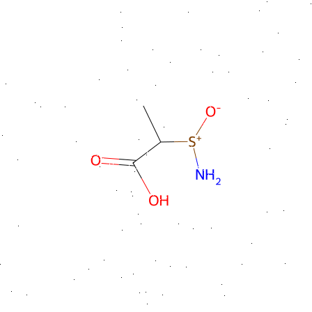 CC(C(=O)O)[S+](N)[O-]